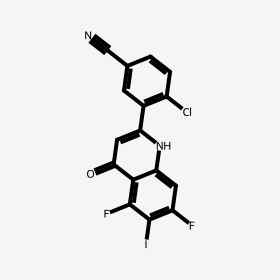 N#Cc1ccc(Cl)c(-c2cc(=O)c3c(F)c(I)c(F)cc3[nH]2)c1